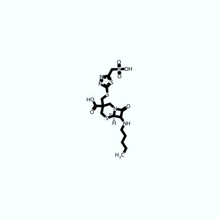 CCCCCNC1C(=O)N2CC(CSc3nnc(CS(=O)(=O)O)s3)(C(=O)O)CS[C@H]12